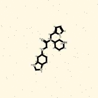 O=C(COC1CCC2OCOC2C1)N(Cc1cccs1)C1CCCNC1